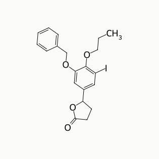 CCCOc1c(I)cc(C2CCC(=O)O2)cc1OCc1ccccc1